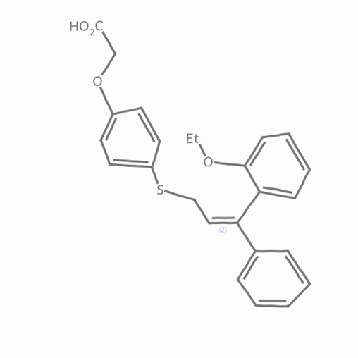 CCOc1ccccc1/C(=C\CSc1ccc(OCC(=O)O)cc1)c1ccccc1